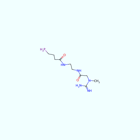 CN(CC(=O)NCCNC(=O)CCCP)C(=N)N